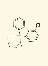 Clc1cccc2c1-c1ccccc1C21C2CC3CC4CC41C32